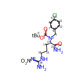 CC(C)(C)OC(=O)N(Cc1ccc(Cl)cc1)[C@H](CCCNC(N)=N[N+](=O)[O-])C(N)=O